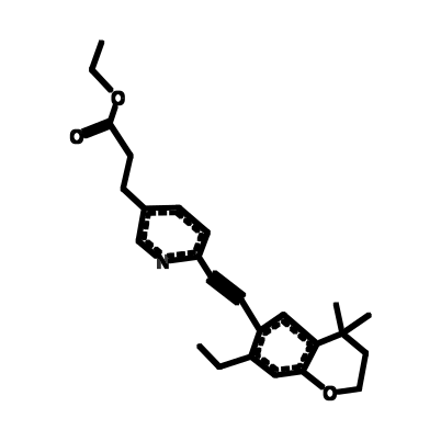 CCOC(=O)CCc1ccc(C#Cc2cc3c(cc2CC)OCCC3(C)C)nc1